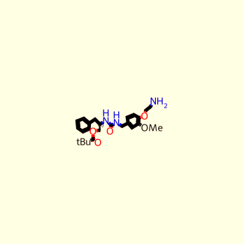 COc1cc(CNC(=O)N[C@@H](COC(=O)C(C)(C)C)Cc2ccccc2)ccc1OCCN